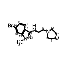 Cn1nc(NCCN2CCOCC2)c2ccc(Br)cc21